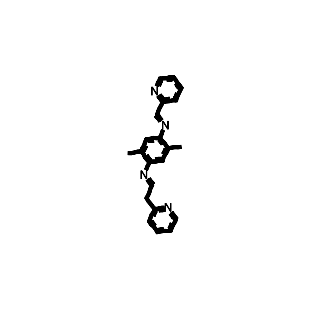 Cc1cc(N=Cc2ccccn2)c(C)cc1N=CCc1ccccn1